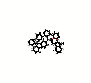 c1ccc(-c2ccccc2N(c2ccc3c(c2)C2(c4ccccc4-c4ccccc42)c2ccccc2-3)c2ccc3[nH]c4ccccc4c3c2)cc1